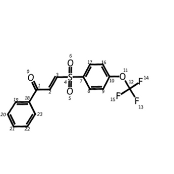 O=C(/C=C/S(=O)(=O)c1ccc(OC(F)(F)F)cc1)c1ccccc1